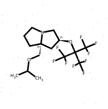 CC(C)OC[C@]12CCCN1C[C@@H](OC(C(F)(F)F)(C(F)(F)F)C(F)(F)F)C2